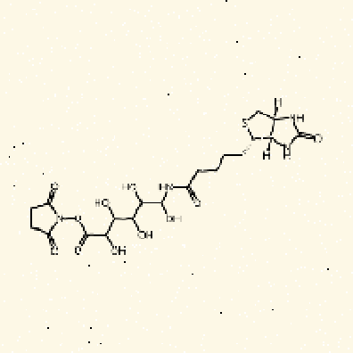 O=C(CCCC[C@@H]1SC[C@@H]2NC(=O)N[C@@H]21)NC(O)C(O)C(O)C(O)C(O)C(=O)ON1C(=O)CCC1=O